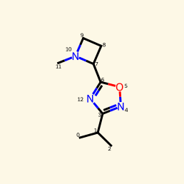 CC(C)c1noc(C2CCN2C)n1